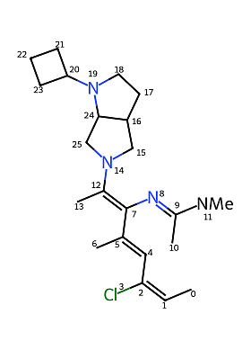 C/C=C(Cl)\C=C(/C)C(/N=C(\C)NC)=C(C)N1CC2CCN(C3CCC3)C2C1